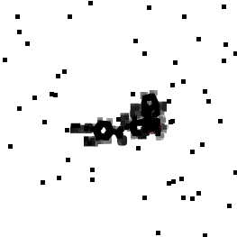 COc1ccc(C(=O)Nc2cnc3c(c(C4[C@@H]5CC[C@H]4CN(C(=O)C(C)C)C5)cn3C)c2C(F)(F)F)cc1C#N